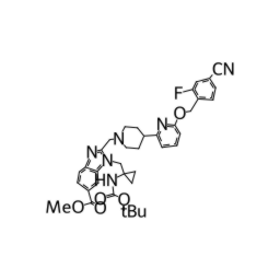 COC(=O)c1ccc2nc(CN3CCC(c4cccc(OCc5ccc(C#N)cc5F)n4)CC3)n(CC3(NC(=O)OC(C)(C)C)CC3)c2c1